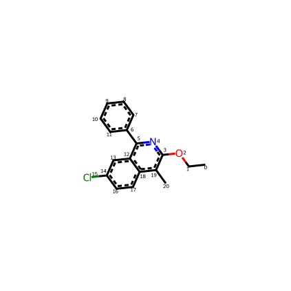 CCOc1nc(-c2ccccc2)c2cc(Cl)ccc2c1C